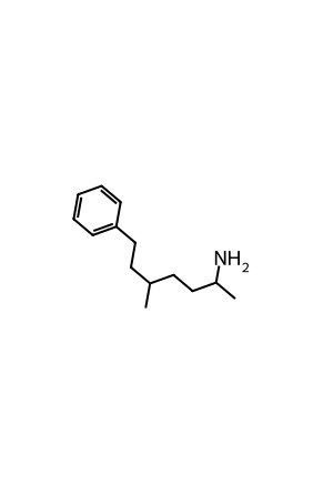 CC(N)CCC(C)CCc1ccccc1